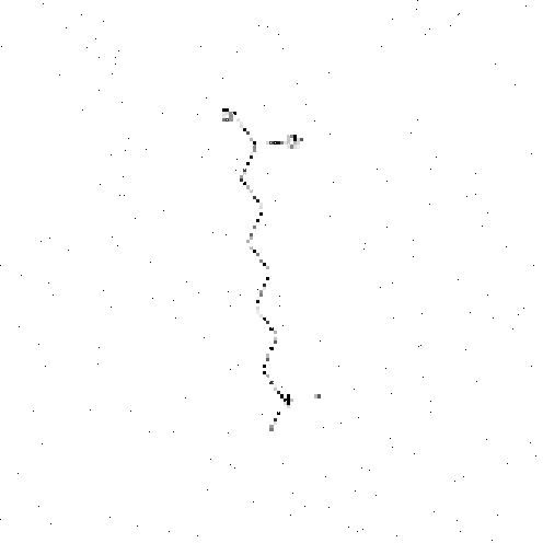 CN(C)CCCCCCCC(Br)Br